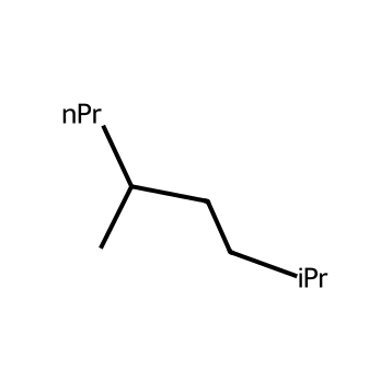 [CH2]CCC(C)CCC(C)C